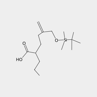 C=C(CCC(CCC)C(=O)O)CO[Si](C)(C)C(C)(C)C